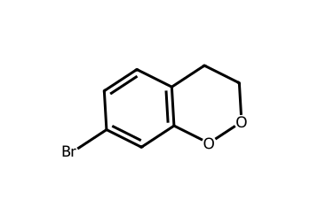 Brc1ccc2c(c1)OOCC2